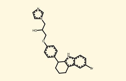 OC(COc1ccc(C2CCCc3c2[nH]c2ccc(Br)cc32)cc1)Cn1ccnc1